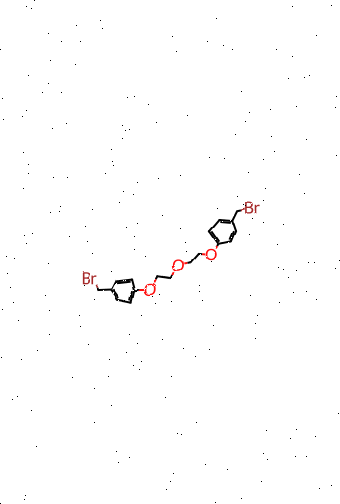 BrCc1ccc(OCCOCCOc2ccc(CBr)cc2)cc1